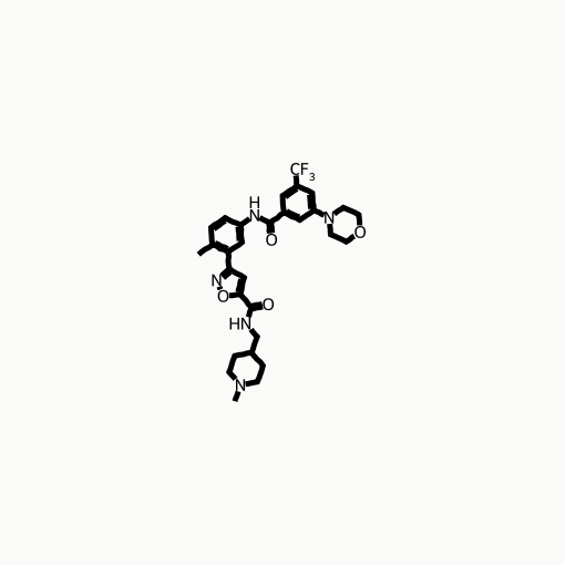 Cc1ccc(NC(=O)c2cc(N3CCOCC3)cc(C(F)(F)F)c2)cc1-c1cc(C(=O)NCC2CCN(C)CC2)on1